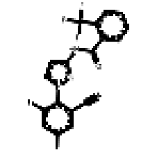 N#Cc1cc(F)cc(F)c1-n1ccc(NC(=O)c2ccccc2C(F)(F)F)n1